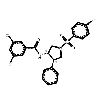 O=C(N[C@@H]1CN(S(=O)(=O)c2ccc(C(F)(F)F)cc2)C[C@H]1c1ccccc1)c1cc(Cl)cc(Cl)c1